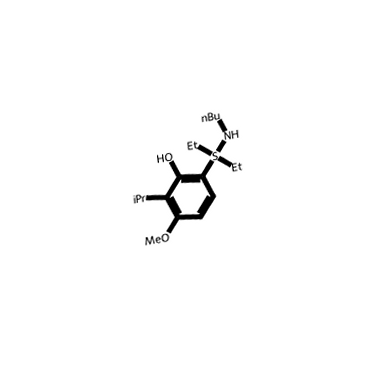 CCCCNS(CC)(CC)c1ccc(OC)c(C(C)C)c1O